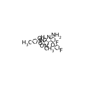 Cc1ccc(S(=O)(=O)n2ccc3c(-c4c(Oc5ccc(F)cc5F)ccc(N)c4N)cn(C)c(=O)c32)cc1